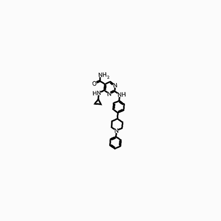 NC(=O)c1cnc(Nc2ccc(C3CCN(c4ccccc4)CC3)cc2)nc1NC1CC1